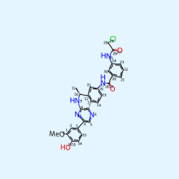 COc1cc(-c2cncc(N[C@@H](C)c3cccc(NC(=O)c4cccc(NC(=O)CCl)c4)c3)n2)ccc1O